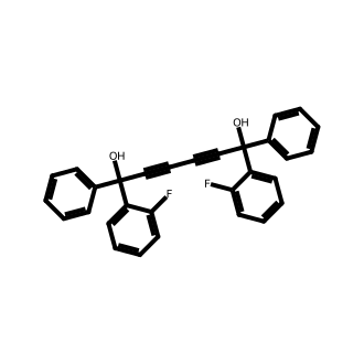 OC(C#CC#CC(O)(c1ccccc1)c1ccccc1F)(c1ccccc1)c1ccccc1F